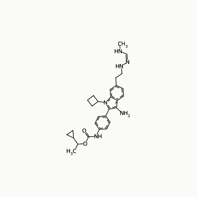 CN/C=N\NCCc1ccc2c(N)c(-c3ccc(NC(=O)OC(C)C4CC4)cc3)n(C3CCC3)c2c1